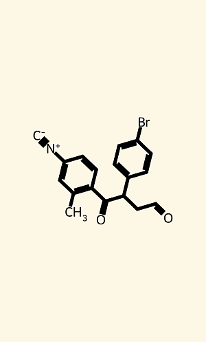 [C-]#[N+]c1ccc(C(=O)C(CC=O)c2ccc(Br)cc2)c(C)c1